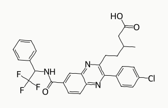 CC(CCc1nc2cc(C(=O)NC(c3ccccc3)C(F)(F)F)ccc2nc1-c1ccc(Cl)cc1)CC(=O)O